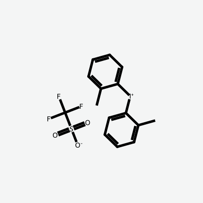 Cc1ccccc1[I+]c1ccccc1C.O=S(=O)([O-])C(F)(F)F